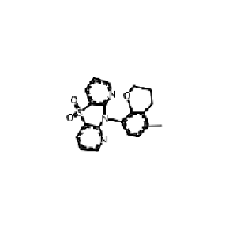 Cc1ccc(N2c3ncccc3S(=O)(=O)c3cccnc32)c2c1CCCO2